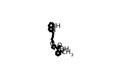 COc1ccccc1C(C(=O)O)N1CC[C@@H](OCCCCCc2ccc3c(n2)NCCC3)C1